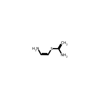 C=C(N)S/C=C\N